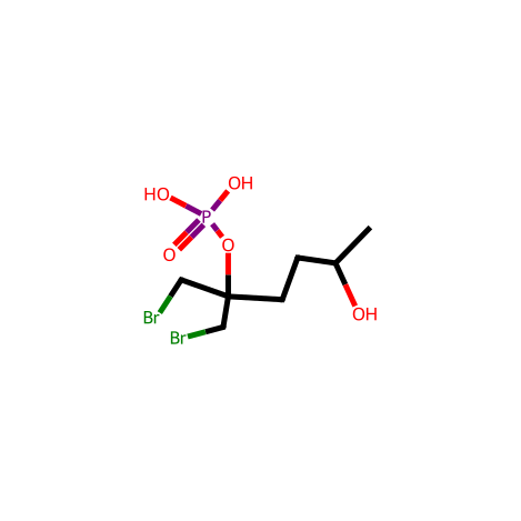 CC(O)CCC(CBr)(CBr)OP(=O)(O)O